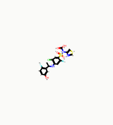 CC(Nc1cc(F)c(S(=O)(=O)N(C(=O)O)c2cscn2)cc1Cl)c1cc(O)ccc1F